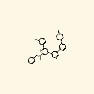 Cc1cccc(-c2nc(NCc3ccccc3)cc(-c3cncc(-c4cccc(N5CCN(C)CC5)c4)c3)n2)n1